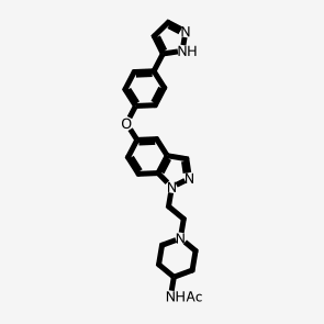 CC(=O)NC1CCN(CCn2ncc3cc(Oc4ccc(-c5ccn[nH]5)cc4)ccc32)CC1